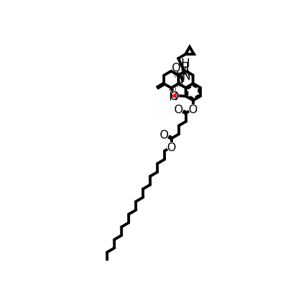 C=C1CC[C@@]2(O)[C@H]3Cc4ccc(OC(=O)CCCC(=O)OCCCCCCCCCCCCCCCCCC)c5c4[C@@]2(CCN3CC2CC2)[C@H]1O5